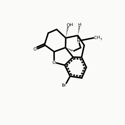 CN1CC[C@]23c4c5ccc(Br)c4OC2C(=O)CC[C@@]3(O)[C@H]1C5